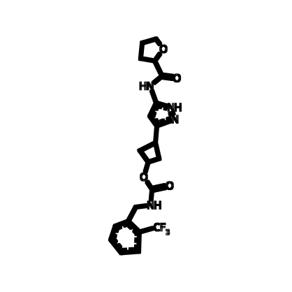 O=C(NCc1ccccc1C(F)(F)F)OC1CC(c2cc(NC(=O)C3CCCO3)[nH]n2)C1